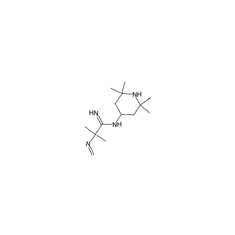 C=NC(C)(C)C(=N)NC1CC(C)(C)NC(C)(C)C1